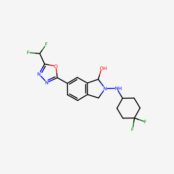 OC1c2cc(-c3nnc(C(F)F)o3)ccc2CN1NC1CCC(F)(F)CC1